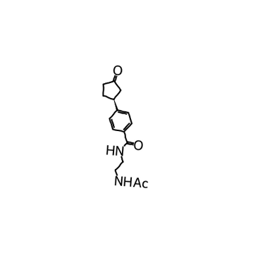 CC(=O)NCCNC(=O)c1ccc([C@H]2CCC(=O)C2)cc1